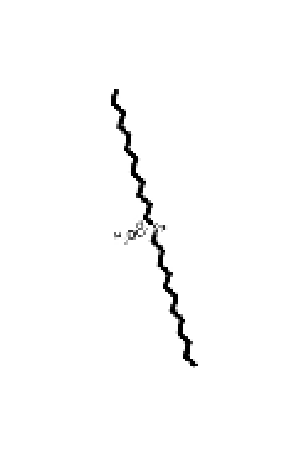 CCCCCCCCCCC[CH2][Sn][CH2]CCCCCCCCCCC.O.O